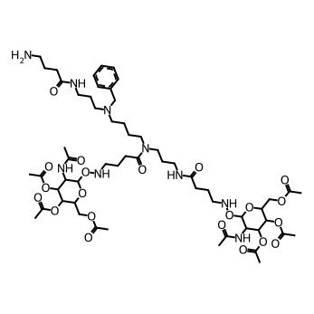 CC(=O)NC1C(ONCCCC(=O)NCCCN(CCCCN(CCCNC(=O)CCCN)Cc2ccccc2)C(=O)CCCNOC2OC(COC(C)=O)C(OC(C)=O)C(OC(C)=O)C2NC(C)=O)OC(COC(C)=O)C(OC(C)=O)C1OC(C)=O